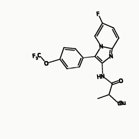 CC(C(=O)Nc1nc2ccc(F)cn2c1-c1ccc(OC(F)(F)F)cc1)C(C)(C)C